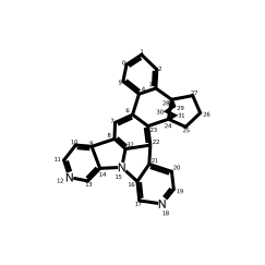 c1ccc2c(c1)-c1cc3c4ccncc4n4c5cnccc5c(c1C15CCCC21CCC5)c34